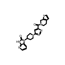 O=C(c1cc(N2CCC(n3c(=O)[nH]c4ncccc43)CC2)ncn1)N1CCc2ccsc2C1